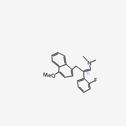 COc1ccc(C/C(=C\N(C)C)c2ccccc2F)c2ccccc12